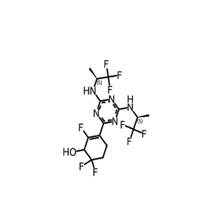 C[C@H](Nc1nc(N[C@@H](C)C(F)(F)F)nc(C2=C(F)C(O)C(F)(F)CC2)n1)C(F)(F)F